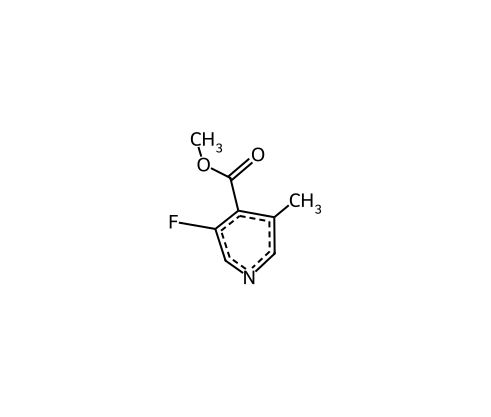 COC(=O)c1c(C)cncc1F